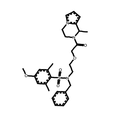 COc1cc(C)c(S(=O)(=O)N(CCOCC(=O)N2CCn3cccc3C2C)Cc2ccccc2)c(C)c1